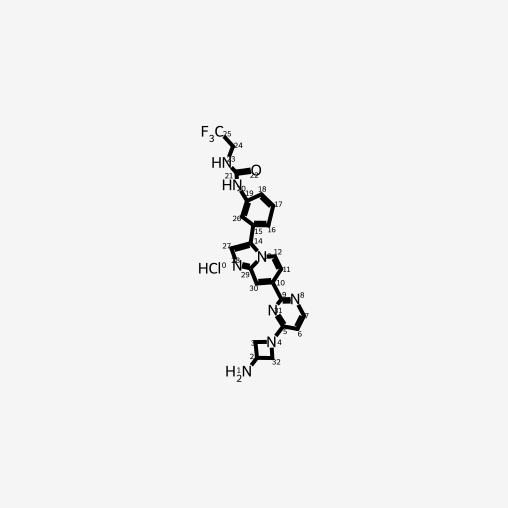 Cl.NC1CN(c2ccnc(-c3ccn4c(-c5cccc(NC(=O)NCC(F)(F)F)c5)cnc4c3)n2)C1